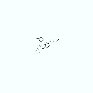 CC1C(N(Cc2ccc(C(=O)NCCC(=O)O)cc2)C(=O)Nc2cc(Cl)cc(Cl)c2)CC2CC1C2(C)C